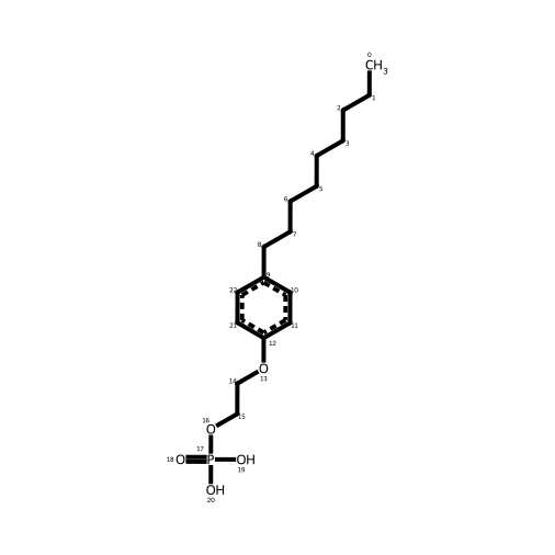 CCCCCCCCCc1ccc(OCCOP(=O)(O)O)cc1